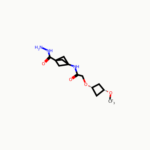 NNC(=O)C12CC(NC(=O)CO[C@H]3C[C@@H](OC(F)(F)F)C3)(C1)C2